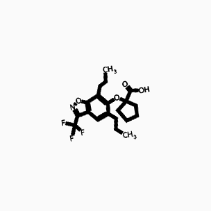 CCCc1cc2c(C(F)(F)F)noc2c(CCC)c1OC1(C(=O)O)CCCC1